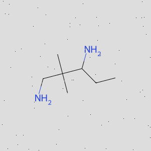 CCC(N)C(C)(C)CN